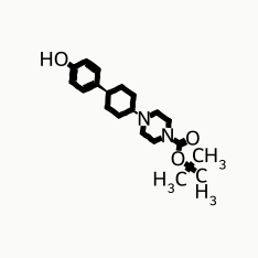 CC(C)(C)OC(=O)N1CCN([C@H]2CC[C@H](c3ccc(O)cc3)CC2)CC1